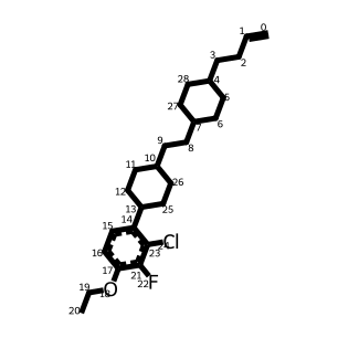 C=CCCC1CCC(CCC2CCC(c3ccc(OCC)c(F)c3Cl)CC2)CC1